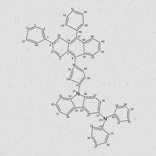 c1ccc(-c2ccc3c(-c4ccc(-n5c6ccccc6c6cc(N(c7ccccc7)c7ccccc7)ccc65)cc4)c4ccccc4c(-c4ccccc4)c3c2)cc1